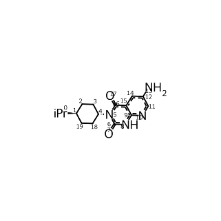 CC(C)[C@H]1CC[C@H](n2c(=O)[nH]c3ncc(N)cc3c2=O)CC1